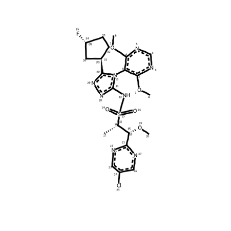 COc1ncnc(OC)c1-n1c(NS(=O)(=O)[C@@H](C)[C@H](OC)c2ncc(Cl)cn2)nnc1[C@@H]1CC[C@@H](F)C1